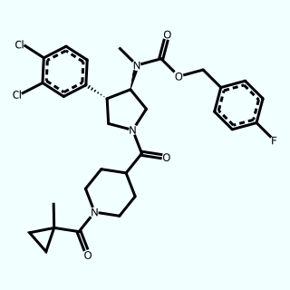 CN(C(=O)OCc1ccc(F)cc1)[C@H]1CN(C(=O)C2CCN(C(=O)C3(C)CC3)CC2)C[C@@H]1c1ccc(Cl)c(Cl)c1